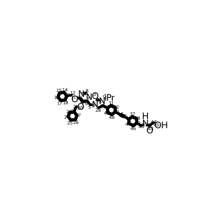 CC(C)N1C(=O)N(Cc2ncnc(OCc3ccccc3)c2OCc2ccccc2)CC1c1ccc(C#Cc2ccc(CNC(=O)CO)cc2)cc1